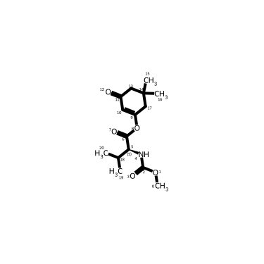 COC(=O)N[C@H](C(=O)OC1=CC(=O)CC(C)(C)C1)C(C)C